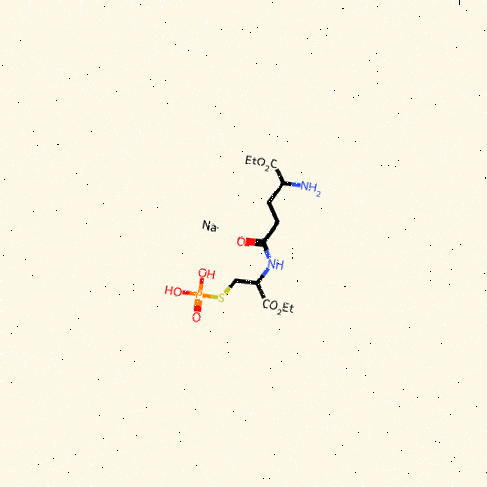 CCOC(=O)C(N)CCC(=O)NC(CSP(=O)(O)O)C(=O)OCC.[Na]